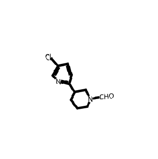 O=CN1CCCC(c2ccc(Cl)cn2)C1